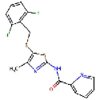 Cc1nc(NC(=O)c2ccccn2)sc1SCc1c(F)cccc1F